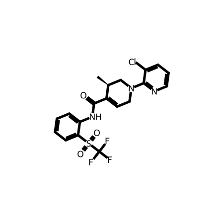 C[C@H]1CN(c2ncccc2Cl)CC=C1C(=O)Nc1ccccc1S(=O)(=O)C(F)(F)F